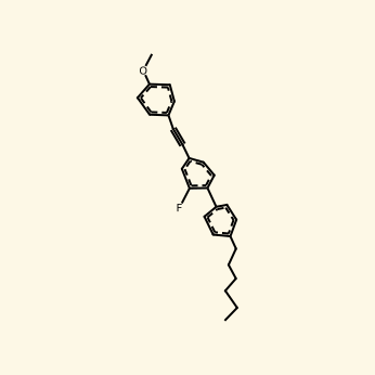 CCCCCCc1ccc(-c2ccc(C#Cc3ccc(OC)cc3)cc2F)cc1